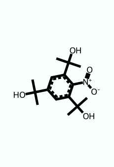 CC(C)(O)c1cc(C(C)(C)O)c([N+](=O)[O-])c(C(C)(C)O)c1